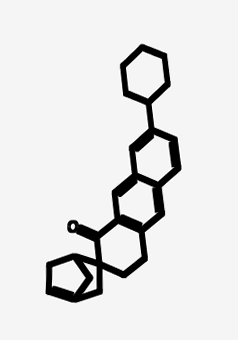 O=C1c2cc3cc(C4CCCCC4)ccc3cc2CCC12CC1=CCC2C1